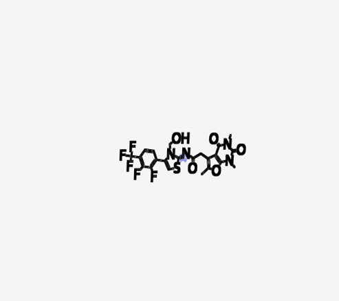 Cc1oc2c(c1CC(=O)/N=c1\scc(-c3ccc(C(F)(F)F)c(F)c3F)n1CO)c(=O)n(C)c(=O)n2C